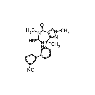 [C-]#[N+]c1cccc(-c2cccc(C3(C)NC(=N)N(C)C(=O)c4cn(C)nc43)c2)c1